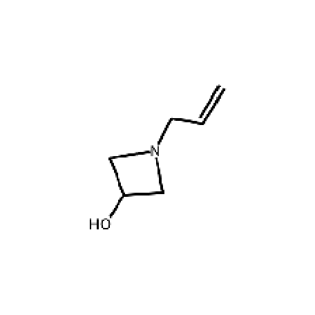 C=CCN1CC(O)C1